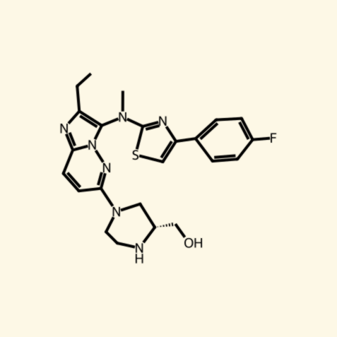 CCc1nc2ccc(N3CCN[C@@H](CO)C3)nn2c1N(C)c1nc(-c2ccc(F)cc2)cs1